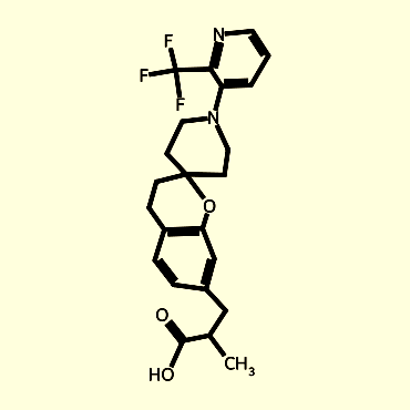 CC(Cc1ccc2c(c1)OC1(CC2)CCN(c2cccnc2C(F)(F)F)CC1)C(=O)O